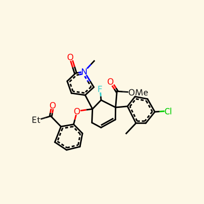 CCC(=O)c1ccccc1OC1(c2ccc(=O)n(C)c2)CC=CC(C(=O)OC)(c2ccc(Cl)cc2C)C1F